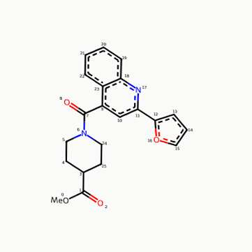 COC(=O)C1CCN(C(=O)c2cc(-c3ccco3)nc3ccccc23)CC1